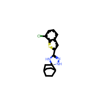 Clc1cccc2cc(C3=NN[C@]4(CC5CCC4CC5)N3)sc12